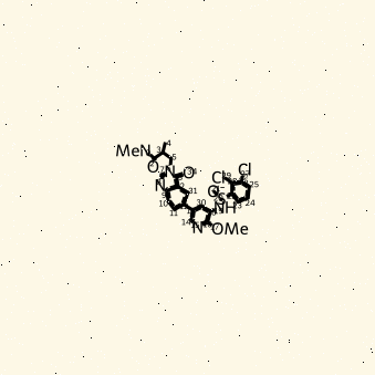 CNC(=O)C(C)Cn1cnc2ccc(-c3cnc(OC)c(N[S+]([O-])c4cccc(Cl)c4Cl)c3)cc2c1=O